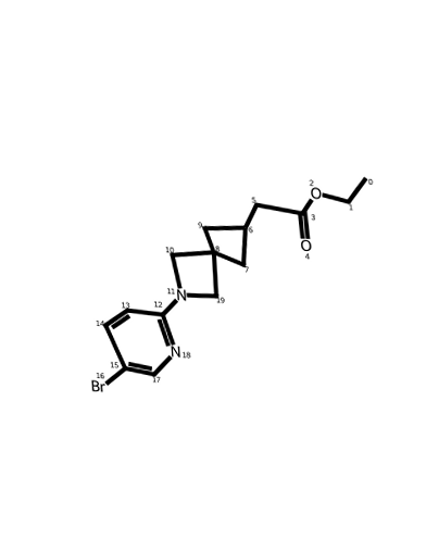 CCOC(=O)CC1CC2(C1)CN(c1ccc(Br)cn1)C2